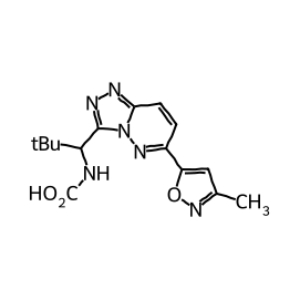 Cc1cc(-c2ccc3nnc(C(NC(=O)O)C(C)(C)C)n3n2)on1